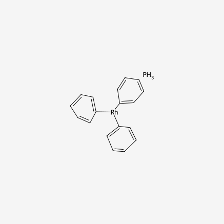 P.c1cc[c]([Rh]([c]2ccccc2)[c]2ccccc2)cc1